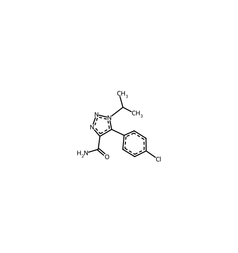 CC(C)n1nnc(C(N)=O)c1-c1ccc(Cl)cc1